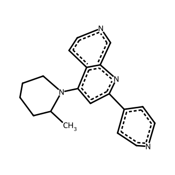 CC1CCCCN1c1cc(-c2ccncc2)nc2cnccc12